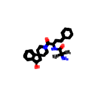 CC(C)(N)C(=O)NC(CCC1CCCCC1)C(=O)N1CCC2(CC1)C[C@@H](O)c1ccccc12